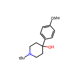 COc1ccc(C2(O)CCN(C(C)(C)C)CC2)cc1